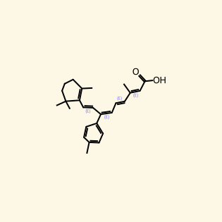 CC1=C(/C=C/C(=C\C=C\C(C)=C\C(=O)O)c2ccc(C)cc2)C(C)(C)CCC1